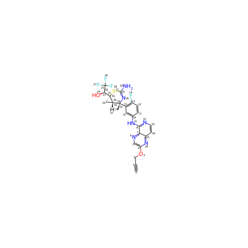 C#CCOc1cnc2c(Nc3ccc(F)c([C@@]4(C)N=C(N)S[C@@]5([C@@H](O)C(F)(F)F)C[C@H]54)c3)nccc2n1